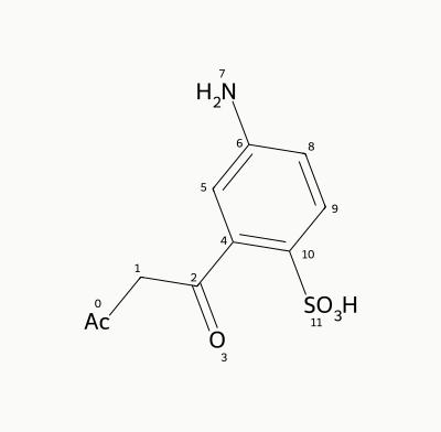 CC(=O)CC(=O)c1cc(N)ccc1S(=O)(=O)O